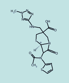 CC(=O)N(c1cccs1)C1C(=O)N2CC(CNc3nnn(C)n3)(C(=O)O)CS[C@H]12